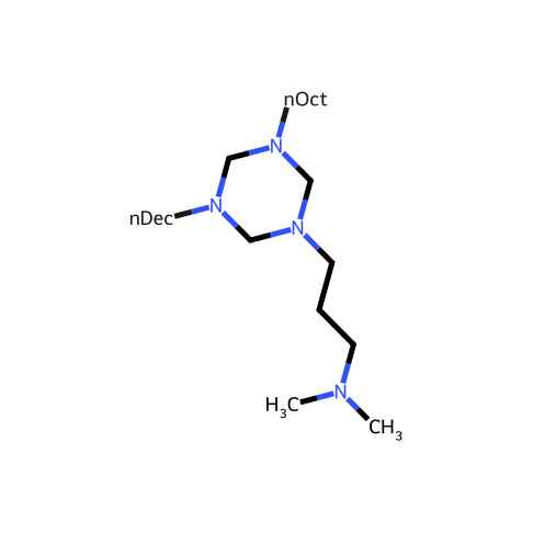 CCCCCCCCCCN1CN(CCCCCCCC)CN(CCCN(C)C)C1